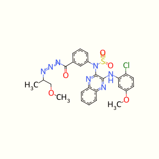 COCC(C)N=[N+]=NC(=O)c1cccc(N(c2nc3ccccc3nc2Nc2cc(OC)ccc2Cl)[SH](=O)=O)c1